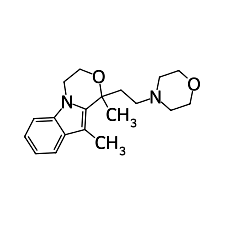 Cc1c2n(c3ccccc13)CCOC2(C)CCN1CCOCC1